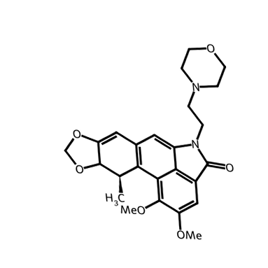 COc1cc2c3c(cc4c(c3c1OC)[C@@H](C)C1OCOC1=C4)N(CCN1CCOCC1)C2=O